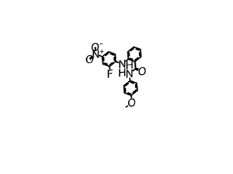 COc1ccc(NC(=O)c2ccccc2Nc2ccc([N+](=O)[O-])cc2F)cc1